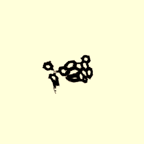 Fc1ccc(N(c2ccccc2)c2ccc3c4c(ccc3c2)-c2c(c3ccccc3c3ccccc23)C42c3ccccc3-c3ccccc32)cc1